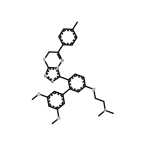 COc1cc(OC)cc(-c2cc(OCCN(C)C)ccc2-c2nnc3n2N=C(c2ccc(C)cc2)CS3)c1